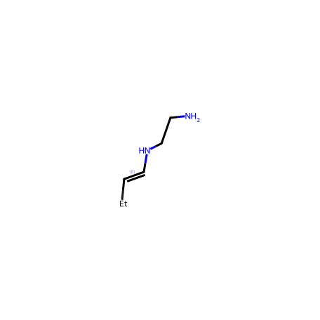 CC/C=C/NCCN